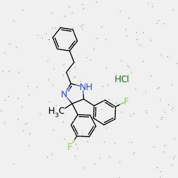 CC1(c2cccc(F)c2)N=C(CCc2ccccc2)NC1c1cccc(F)c1.Cl